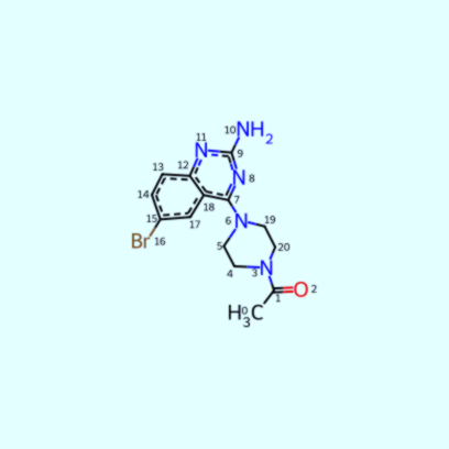 CC(=O)N1CCN(c2nc(N)nc3ccc(Br)cc23)CC1